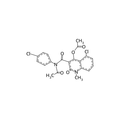 CC(=O)Oc1c(C(=O)N(C(C)=O)c2ccc(Cl)cc2)c(=O)n(C)c2cccc(Cl)c12